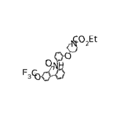 CCOC(=O)N1CCC(Oc2cccc(NC(=O)c3cc(OC(F)(F)F)ccc3-c3ccccc3)c2)CC1